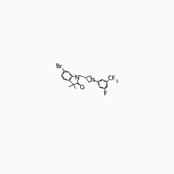 CC1(C)C(=O)N(CC2CN(c3cc(F)cc(C(F)(F)F)c3)C2)c2cc(Br)ccc21